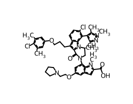 Cc1cc(OCCCc2c3n(c4c(-c5c(C)nn(C)c5C)c(Cl)ccc24)[C@H](C)CN(c2cc(OCCN4CCCC4)cc4cc(C(=O)O)n(C)c24)C3=O)cc(C)c1Cl